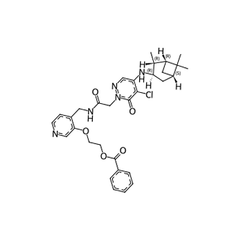 C[C@@H]1[C@H]2C[C@@H](C[C@H]1Nc1cnn(CC(=O)NCc3ccncc3OCCOC(=O)c3ccccc3)c(=O)c1Cl)C2(C)C